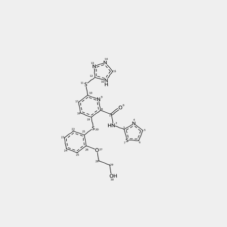 O=C(Nc1nccs1)c1nc(Sc2nnc[nH]2)ccc1Sc1ccccc1OCCO